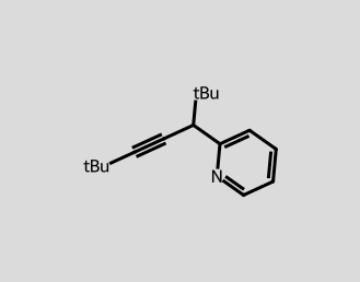 CC(C)(C)C#CC(c1ccccn1)C(C)(C)C